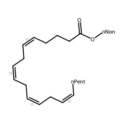 CCCCC/C=C\C/C=C\C/C=C\C/C=C\CCCC(=O)OCCCCCCCCC